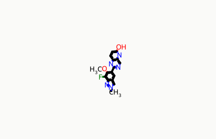 COc1c(-c2ncc3nc(O)ccc3n2)cc2cn(C)nc2c1F